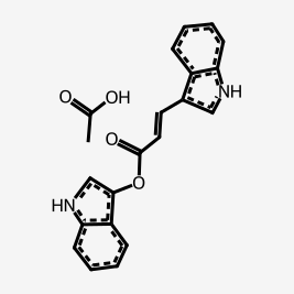 CC(=O)O.O=C(C=Cc1c[nH]c2ccccc12)Oc1c[nH]c2ccccc12